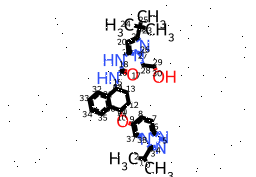 CC(C)c1nnc2ccc(O[C@@H]3CC[C@H](NC(=O)Nc4cc(C(C)(C)C)nn4CCO)c4ccccc43)cn12